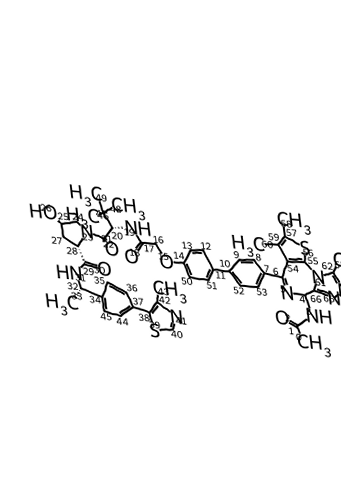 CC(=O)NC1N=C(c2ccc(-c3ccc(OCC(=O)N[C@H](C(=O)N4C[C@H](O)C[C@H]4C(=O)N[C@@H](C)c4ccc(-c5scnc5C)cc4)C(C)(C)C)cc3)cc2)c2c(sc(C)c2C)-n2c(C)nnc21